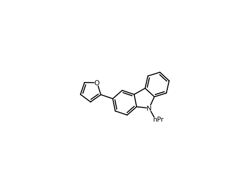 CCCn1c2ccccc2c2cc(-c3ccco3)ccc21